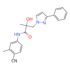 Cc1cc(NC(=O)C(C)(O)Cn2ccc(-c3ccccc3)n2)ccc1C#N